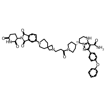 NC(=O)c1c(-c2ccc(Oc3ccccc3)cc2)nn2c1NCC[C@H]2C1CCN(C(=O)CCN2CC3(CCN(c4ccc5c(c4)C(=O)N(C4CCC(=O)NC4=O)C5=O)CC3)C2)CC1